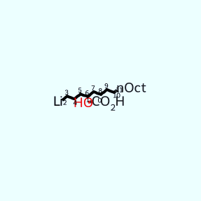 O=C(O)O.[Li][CH2]CCCCCCCCCCCCCCC